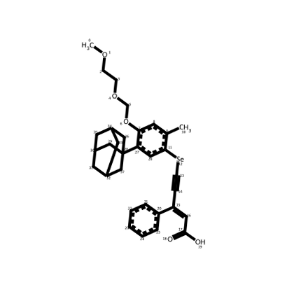 COCCOCOc1cc(C)c([Se]C#CC(=CC(=O)O)c2ccccc2)cc1C12CC3CC(CC(C3)C1)C2